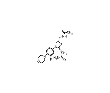 CC(=O)NC[C@H]1CN(c2ccc(N3CCOCC3)c(F)c2)C(=O)O1.CC(N)=O